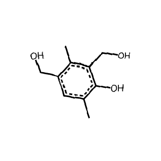 Cc1cc(CO)c(C)c(CO)c1O